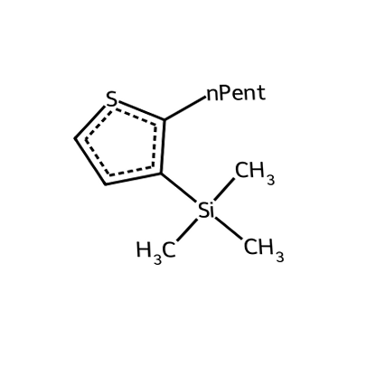 CCCCCc1sccc1[Si](C)(C)C